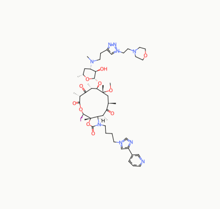 CO[C@]1(C)C[C@@H](C)C(=O)[C@H](C)[C@H]2N(CCCCn3cnc(-c4cccnc4)c3)C(=O)O[C@]2(C)[C@@H](I)OC(=O)[C@H](C)C(=O)[C@H](C)[C@H]1O[C@@H]1O[C@H](C)C[C@H](N(C)CCc2cn(CCN3CCOCC3)nn2)[C@H]1O